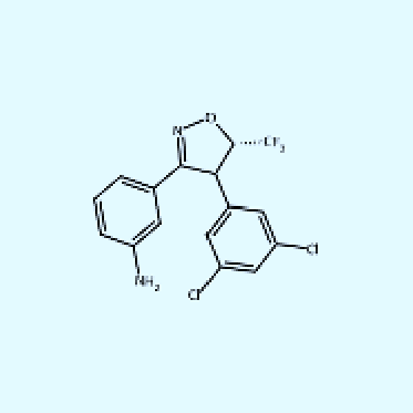 Nc1cccc(C2=NO[C@H](C(F)(F)F)C2c2cc(Cl)cc(Cl)c2)c1